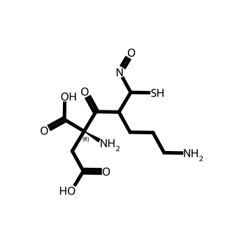 NCCCC(C(=O)[C@](N)(CC(=O)O)C(=O)O)C(S)N=O